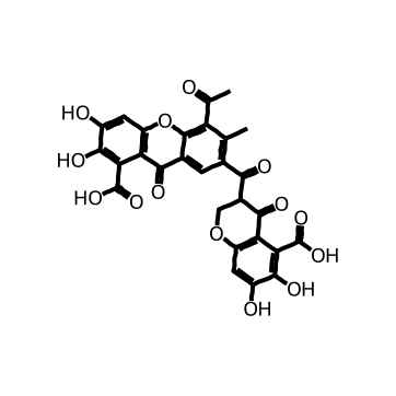 CC(=O)c1c(C)c(C(=O)C2COc3cc(O)c(O)c(C(=O)O)c3C2=O)cc2c(=O)c3c(C(=O)O)c(O)c(O)cc3oc12